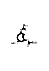 COC1CCC(OC(=O)SC)/C=C/C(OC(=O)SC)C1